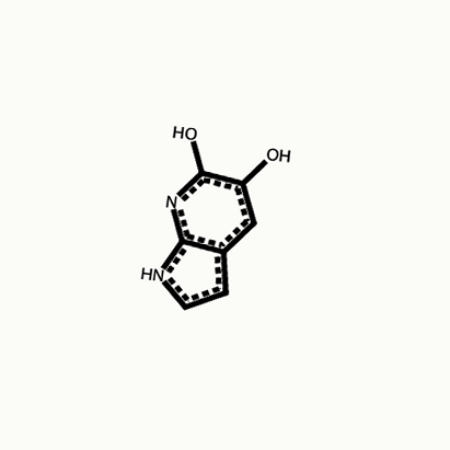 Oc1cc2cc[nH]c2nc1O